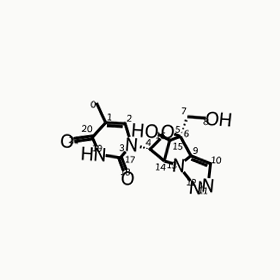 Cc1cn([C@@H]2O[C@@]3(CO)c4cnnn4C2C3O)c(=O)[nH]c1=O